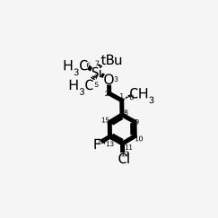 C[C@@H](CO[Si](C)(C)C(C)(C)C)c1ccc(Cl)c(F)c1